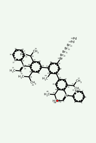 CC=[N+](c1ccccn1)c1c(C(C)C)cc(-c2cc(Br)cc(-c3cc(C(C)C)c([N+](=CC)c4ccccn4)c(C(C)C)c3)c2C)cc1C(C)C.[Br-].[Br-].[Br-].[Br-].[Pd].[Pd]